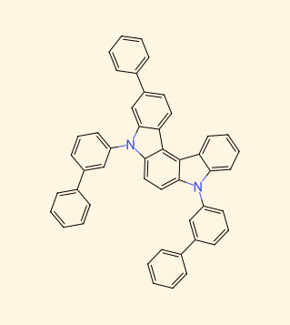 c1ccc(-c2cccc(-n3c4ccccc4c4c5c6ccc(-c7ccccc7)cc6n(-c6cccc(-c7ccccc7)c6)c5ccc43)c2)cc1